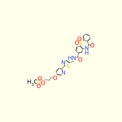 CS(=O)(=O)OCCCOc1ccc(-c2ncc(CNC(=O)c3ccc4c(c3)NC(=O)c3ccccc3S4(=O)=O)s2)nc1